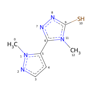 Cn1nccc1-c1nnc(S)n1C